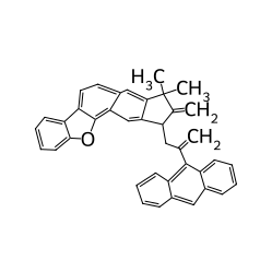 C=C(CC1C(=C)C(C)(C)c2cc3ccc4c5ccccc5oc4c3cc21)c1c2ccccc2cc2ccccc12